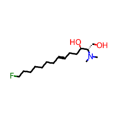 CN(C)[C@@H](CO)[C@H](O)CC/C=C/CCCCCCCF